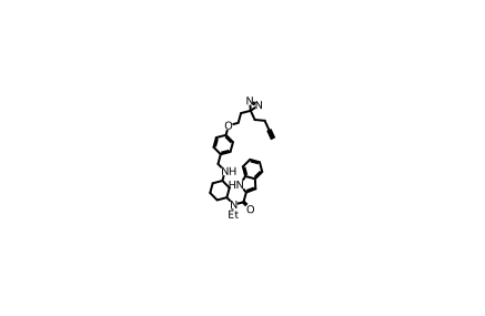 C#CCCC1(CCOc2ccc(CNC3CCCC(N(CC)C(=O)c4cc5ccccc5[nH]4)C3)cc2)N=N1